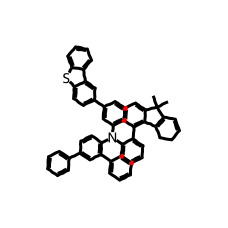 CC1(C)C2=C(CCC=C2)c2c(-c3ccccc3N(c3cccc(-c4ccc5sc6ccccc6c5c4)c3)c3ccc(-c4ccccc4)cc3-c3ccccc3)cccc21